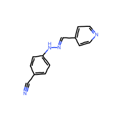 N#Cc1ccc(NN=Cc2ccncc2)cc1